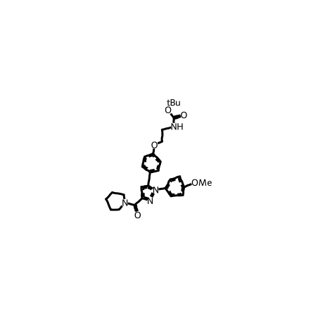 COc1ccc(-n2nc(C(=O)N3CCCCC3)cc2-c2ccc(OCCNC(=O)OC(C)(C)C)cc2)cc1